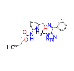 C#CCCOC(=O)Nc1cccc(CO/N=C(/c2ccccc2)c2nnnn2C)n1